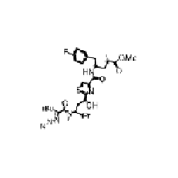 CCC(C)[C@H](N=[N+]=[N-])C(=O)N(C)C(C[C@@H](O)c1nc(C(=O)N[C@@H](Cc2ccc(F)cc2)C[C@H](C)C(=O)OC)cs1)C(C)C